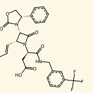 CC=C[C@@H]1[C@H](N2C(=O)OC[C@@H]2c2ccccc2)C(=O)N1[C@H](CC(=O)O)C(=O)NCc1cccc(C(F)(F)F)c1